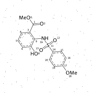 COC(=O)c1cccc(O)c1NS(=O)(=O)c1ccc(OC)cc1